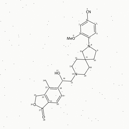 COc1cc(C#N)ccc1N1CCC2(CCN(CC(O)c3ccc4c(c3C)COC4=O)CC2)C1